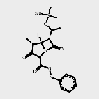 CC(O[Si](C)(C)C(C)(C)C)[C@H]1C(=O)N2C(C(=O)OSc3ccccc3)C(=O)[C@@H](C)[C@H]12